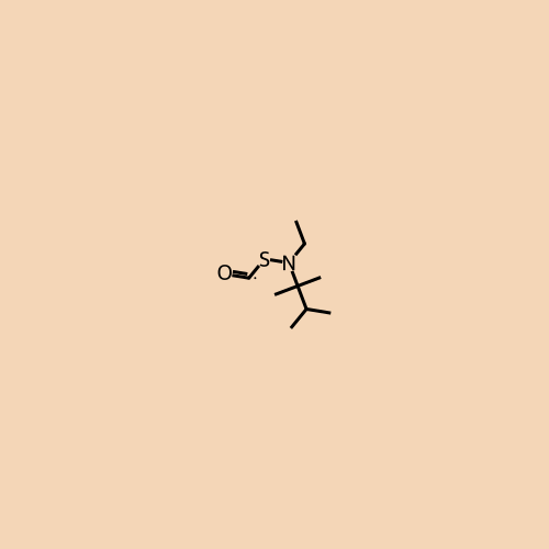 CCN(S[C]=O)C(C)(C)C(C)C